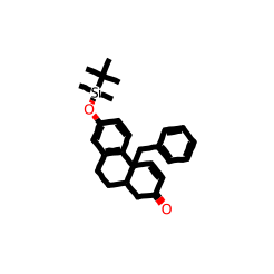 CC(C)(C)[Si](C)(C)Oc1ccc2c(c1)CCC1CC(=O)C=CC21Cc1ccccc1